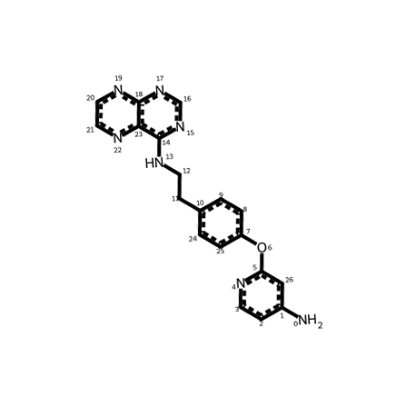 Nc1ccnc(Oc2ccc(CCNc3ncnc4nccnc34)cc2)c1